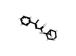 C/C(=C\C(=O)NC1CN2CCC1CC2)c1ccccc1